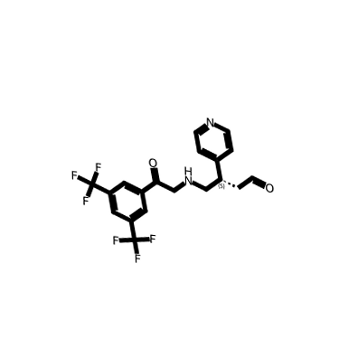 O=CC[C@H](CNCC(=O)c1cc(C(F)(F)F)cc(C(F)(F)F)c1)c1ccncc1